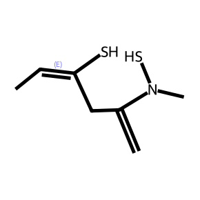 C=C(C/C(S)=C\C)N(C)S